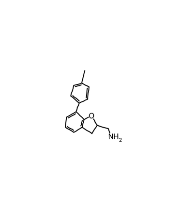 Cc1ccc(-c2cccc3c2OC(CN)C3)cc1